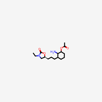 CCN1C[C@H](CCCC2CCCC(OC(C)=O)C2N)OC1=O